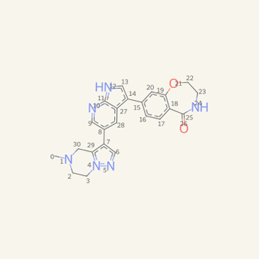 CN1CCn2ncc(-c3cnc4[nH]cc(-c5ccc6c(c5)OCCNC6=O)c4c3)c2C1